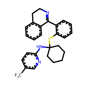 FC(F)(F)c1ccc(NC2(Sc3ccccc3C3=NCCc4ccccc43)CCCCC2)nc1